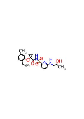 Cc1ccc(CC(C)C)c(OC2(C(=O)NS(=O)(=O)c3cccc(NCC(C)O)n3)CC2)c1